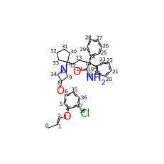 CC=COc1cc(OC2CN(C3(CCC(C(N)=O)(c4ccccc4)c4ccccc4)CCCC3)C2)ccc1Cl